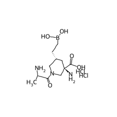 CC(N)C(=O)N1C[C@H](CCB(O)O)C[C@](N)(C(=O)O)C1.Cl.Cl